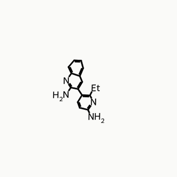 CCc1nc(N)ccc1-c1cc2ccccc2nc1N